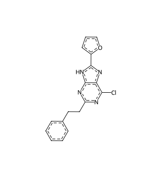 Clc1nc(CCc2ccccc2)nc2[nH]c(-c3ccco3)nc12